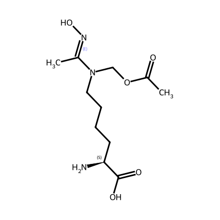 CC(=O)OCN(CCCC[C@H](N)C(=O)O)/C(C)=N/O